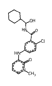 Cn1cccc(Nc2ccc(Cl)c(C(=O)NC(O)C3CCCCC3)c2)c1=O